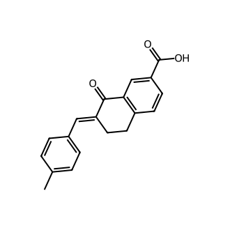 Cc1ccc(/C=C2\CCc3ccc(C(=O)O)cc3C2=O)cc1